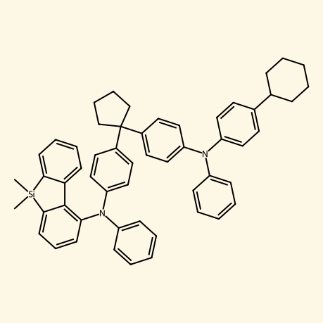 C[Si]1(C)c2ccccc2-c2c(N(c3ccccc3)c3ccc(C4(c5ccc(N(c6ccccc6)c6ccc(C7CCCCC7)cc6)cc5)CCCC4)cc3)cccc21